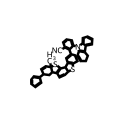 CC12C=CC(c3ccccc3)CC1C1=C(S2)C2C3=C(CCC(c4c(C#N)cccc4-n4c5c(c6ccccc64)CCC=C5)=C3)SC2C=C1